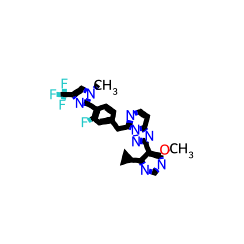 COc1ncnc(C2CC2)c1-c1nc2ccnc(Cc3ccc(-c4nc(C(F)(F)F)cn4C)c(F)c3)n2n1